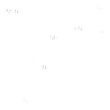 CCC(C)C(=O)NCC(NC(=O)C(C)CNC)C(=O)NCCC(C)=O